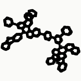 c1ccc(-c2cc(-c3ccc(-c4ccc5c(-c6ccc7sc8ccccc8c7c6)c(N(c6cc(-c7ccccc7)cc(-c7ccccc7)c6)c6ccc7c(c6)sc6ccccc67)ccc5c4)cc3)cc(N(c3ccc4c(c3)oc3ccccc34)c3ccc4ccccc4c3-c3ccc4sc5ccccc5c4c3)c2)cc1